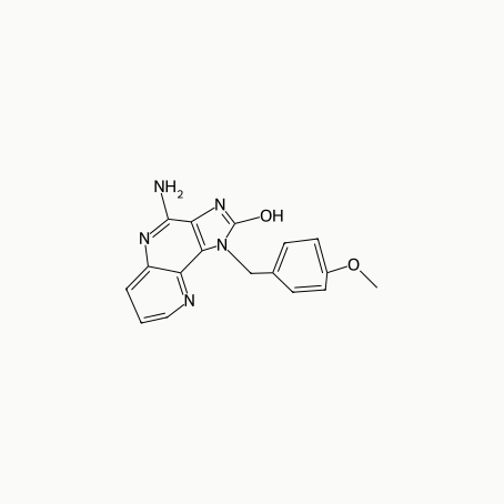 COc1ccc(Cn2c(O)nc3c(N)nc4cccnc4c32)cc1